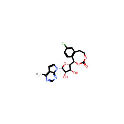 Cc1ncnc2c1ccn2[C@@H]1O[C@H]([C@@H]2OC(=O)OCCc3cc(Cl)ccc32)[C@@H](O)[C@H]1O